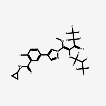 CN/C(=C(/OC(F)(F)C(F)C(F)(F)F)C(=N)C(F)(F)C(F)(F)F)n1cc(-c2ccc(Cl)c(C(=O)NC3CC3)c2)cn1